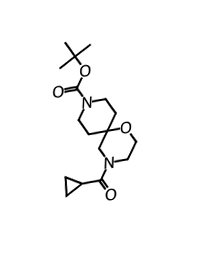 CC(C)(C)OC(=O)N1CCC2(CC1)CN(C(=O)C1CC1)CCO2